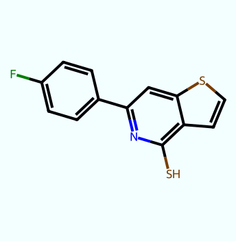 Fc1ccc(-c2cc3sccc3c(S)n2)cc1